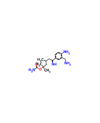 CC(CC(=N)c1ccc(N)c(CN)c1)CC(C)(C)OC(N)=O